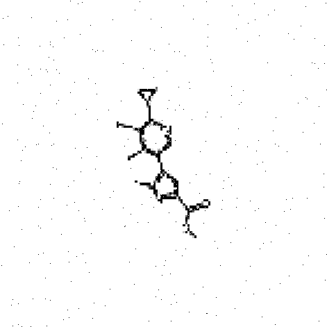 COC(=O)c1cc(-c2cnc(C3CC3)c(F)c2C)n(C)n1